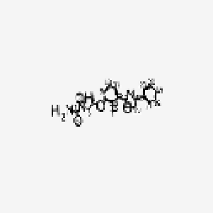 NC(=O)N(O)CCOc1cccc(C2=NC(c3ccccc3)CO2)c1F